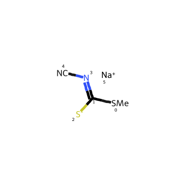 CSC([S-])=NC#N.[Na+]